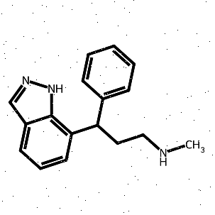 CNCCC(c1ccccc1)c1cccc2cn[nH]c12